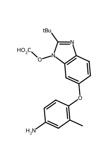 Cc1cc(N)ccc1Oc1ccc2nc(C(C)(C)C)n(OC(=O)O)c2c1